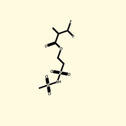 CC(C(=O)OCCS(=O)(=O)NS(C)(=O)=O)C(F)F